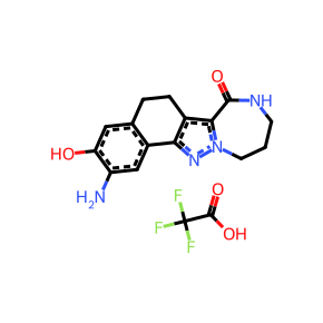 Nc1cc2c(cc1O)CCc1c-2nn2c1C(=O)NCCC2.O=C(O)C(F)(F)F